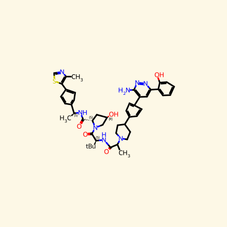 Cc1ncsc1-c1ccc([C@H](C)NC(=O)[C@@H]2C[C@@H](O)CN2C(=O)[C@@H](NC(=O)C(C)N2CCC(c3ccc(-c4cc(-c5ccccc5O)nnc4N)cc3)CC2)C(C)(C)C)cc1